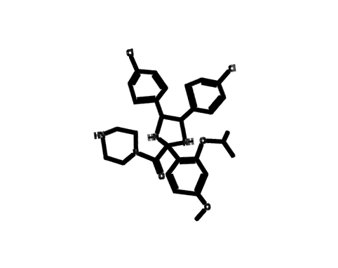 COc1ccc(C2(C(=O)N3CCNCC3)NC(c3ccc(Cl)cc3)C(c3ccc(Cl)cc3)N2)c(OC(C)C)c1